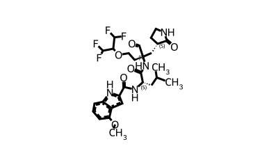 COc1cccc2[nH]c(C(=O)N[C@@H](CC(C)C)C(=O)N[C@@](C=O)(CCOC(C(F)F)C(F)F)C[C@@H]3CCNC3=O)cc12